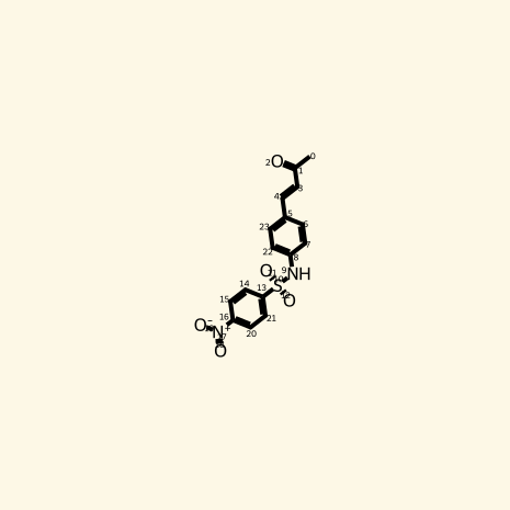 CC(=O)/C=C/c1ccc(NS(=O)(=O)c2ccc([N+](=O)[O-])cc2)cc1